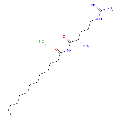 CCCCCCCCCCCC(=O)NC(=O)C(N)CCCNC(=N)N.Cl.Cl